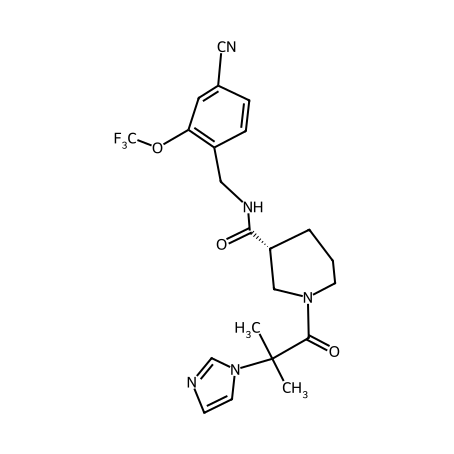 CC(C)(C(=O)N1CCC[C@@H](C(=O)NCc2ccc(C#N)cc2OC(F)(F)F)C1)n1ccnc1